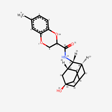 Cc1ccc2c(c1)OCC(C(=O)N[C@H]1[C@@H]3CC4C[C@H]1C[C@](O)(C4)C3)O2